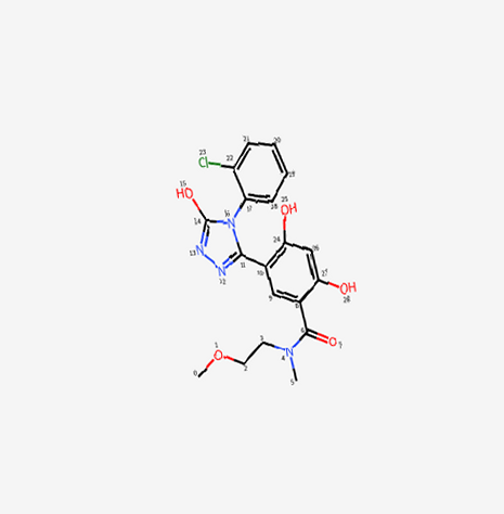 COCCN(C)C(=O)c1cc(-c2nnc(O)n2-c2ccccc2Cl)c(O)cc1O